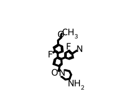 COCCc1ccc(-c2ccc(C(=O)N3CCCC(N)CC3)cc2-c2ccc(C#N)c(F)c2)c(F)c1